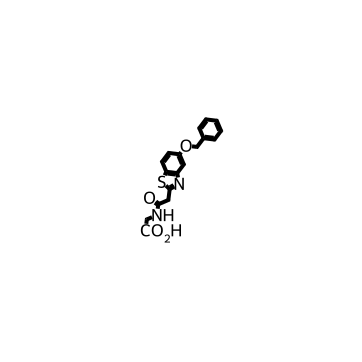 O=C(O)CNC(=O)Cc1nc2cc(OCc3ccccc3)ccc2s1